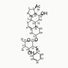 CC(=O)C1CC[C@]2(C)C3CC=C4CC(OC5OC(C)C(C)C(O)C5Sc5ccccc5)CC[C@]4(C)C3CC(O)[C@]12C